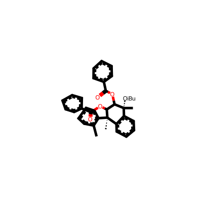 Cc1ccccc1[C@]1(C)c2ccccc2[C@@](C)(OCC(C)C)C(OC(=O)c2ccccc2)C1OC(=O)c1ccccc1